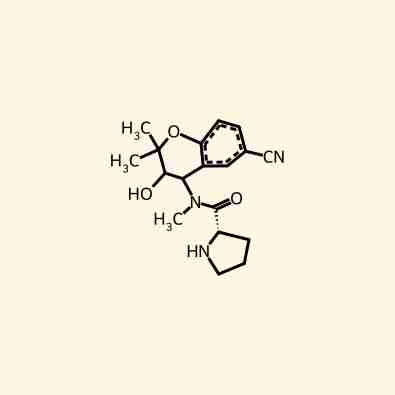 CN(C(=O)[C@@H]1CCCN1)C1c2cc(C#N)ccc2OC(C)(C)C1O